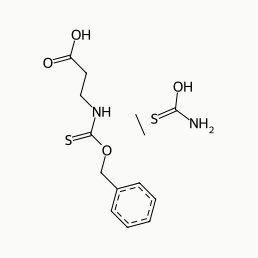 CC.NC(O)=S.O=C(O)CCNC(=S)OCc1ccccc1